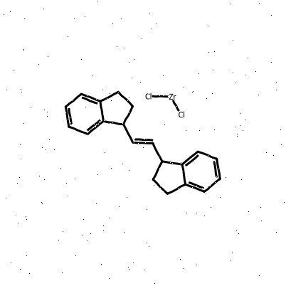 C(=CC1CCc2ccccc21)C1CCc2ccccc21.[Cl][Zr][Cl]